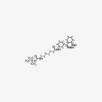 CC(C)(C)OC(=O)NCCCCCCC(=O)Nc1cccc(-c2n[nH]c(=O)c3ccccc23)c1